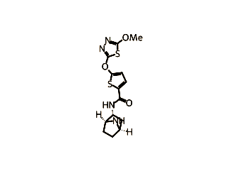 COc1nnc(Oc2ccc(C(=O)N[C@@H]3C[C@H]4CC[C@@H]3N4)s2)s1